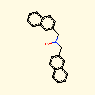 ON(Cc1ccc2ccccc2c1)Cc1ccc2ccccc2c1